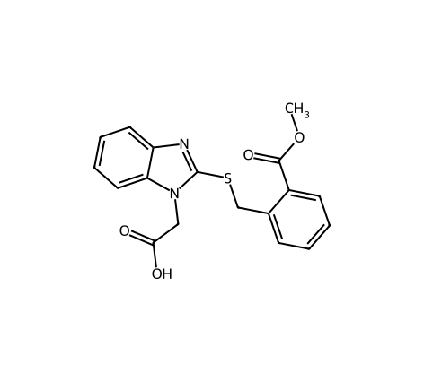 COC(=O)c1ccccc1CSc1nc2ccccc2n1CC(=O)O